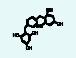 Oc1cc(O)c(Cc2ccc(Cc3c(O)cc(O)cc3O)cc2)c(O)c1